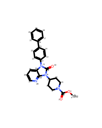 CC(C)(C)OC(=O)N1CCC(n2c(=O)n(-c3ccc(-c4ccccc4)cc3)c3cccnc32)CC1